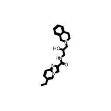 CCc1ccc2nc(C(=O)NCC(O)CN3CCc4ccccc4C3)cn2c1